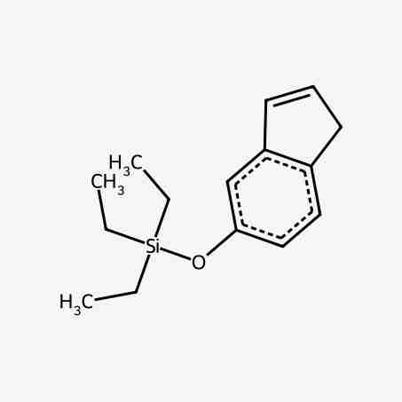 CC[Si](CC)(CC)Oc1ccc2c(c1)C=CC2